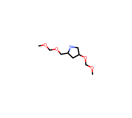 COCOCC1CC(OCOC)C[N]1